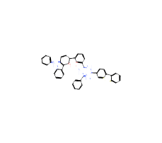 C1=CC2c3cccc(-c4nc(-c5ccccc5)nc(-c5ccc6c(c5)sc5ccccc56)n4)c3OC2c2c1n(-c1ccccc1)c1ccccc21